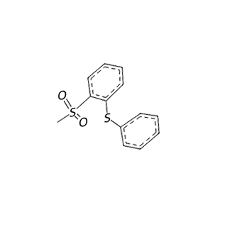 CS(=O)(=O)c1ccccc1Sc1ccccc1